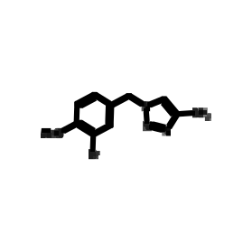 COc1ccc(Cn2cc(N)nn2)cc1Br